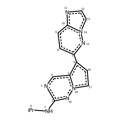 CC(C)Nc1ncc2c(-c3ccc4nccn4n3)ccn2n1